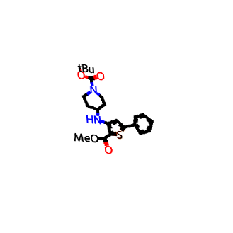 COC(=O)c1sc(-c2ccccc2)cc1NC1CCN(C(=O)OC(C)(C)C)CC1